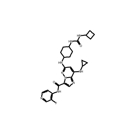 O=C(NC1CCC1)NC1CCC(Nc2cc(NC3CC3)c3ncc(C(=O)Nc4ccncc4F)n3n2)CC1